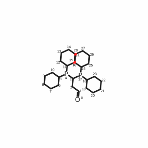 O=CCC(P(C1CCCCC1)C1CCCCC1)P(C1CCCCC1)C1CCCCC1